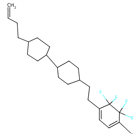 C=CCCC1CCC(C2CCC(CCC3=CC=C(CCC)C(F)(F)C3(F)F)CC2)CC1